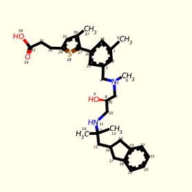 Cc1cc(CN(C)C[C@H](O)CNC(C)(C)CC2Cc3ccccc3C2)cc(-c2sc(CCC(=O)O)cc2C)c1